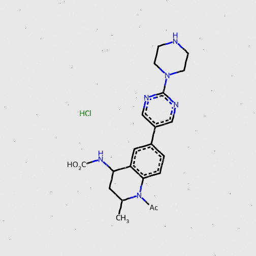 CC(=O)N1c2ccc(-c3cnc(N4CCNCC4)nc3)cc2C(NC(=O)O)CC1C.Cl